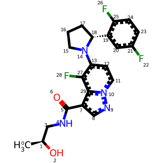 C[C@H](O)CNC(=O)c1cnn2ccc(N3CCC[C@@H]3c3cc(F)ccc3F)c(F)c12